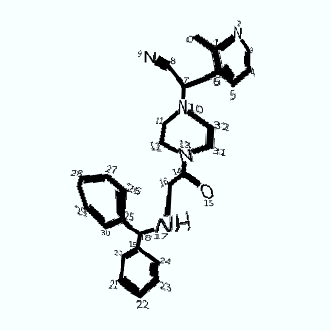 Cc1ncccc1C(C#N)N1CCN(C(=O)CNC(c2ccccc2)c2ccccc2)CC1